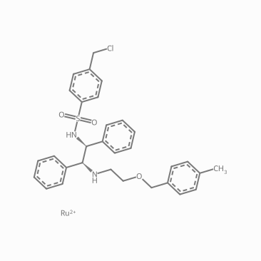 Cc1ccc(COCCN[C@@H](c2ccccc2)[C@@H](NS(=O)(=O)c2ccc(CCl)cc2)c2ccccc2)cc1.[Ru+2]